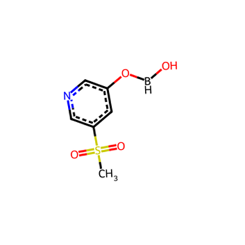 CS(=O)(=O)c1cncc(OBO)c1